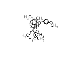 CCCN(C(=O)OC(C)(C)C)C1=N[C@@H]2[C@@H](OCc3ccc(OC)cc3)[C@H](C)[C@@H](CC)O[C@@H]2S1